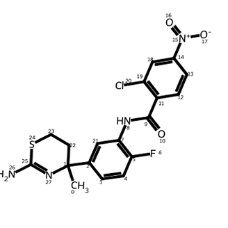 CC1(c2ccc(F)c(NC(=O)c3ccc([N+](=O)[O-])cc3Cl)c2)CCSC(N)=N1